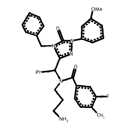 COc1cccc(-n2nc(C(C(C)C)N(CCCN)C(=O)c3ccc(C)c(F)c3)n(Cc3ccccc3)c2=O)c1